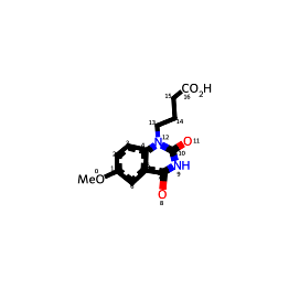 COc1ccc2c(c1)c(=O)[nH]c(=O)n2CCCC(=O)O